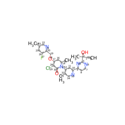 C#CC(C)(O)c1nccc(-c2cc(-n3c(C)cc(OCc4ncc(C)cc4F)c(Cl)c3=O)c(C)cn2)n1